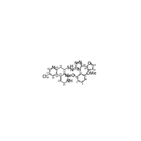 COc1cccc(OC)c1-n1c(NSCCc2ncc(Cl)cc2C2=CCNCC2)nnc1-c1ccco1